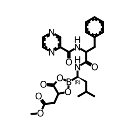 COC(=O)CC1OB([C@H](CC(C)C)NC(=O)C(Cc2ccccc2)NC(=O)c2cnccn2)OC1=O